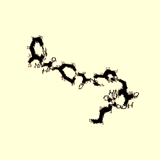 CCCCS(=O)(=O)NC(Cn1ccc(CN(C)C(=O)CN2CCC(NC(=O)Nc3ncccc3C)CC2)n1)C(=O)O